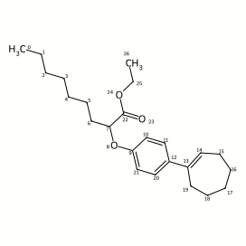 CCCCCCCC(Oc1ccc(C2=CCCCCC2)cc1)C(=O)OCC